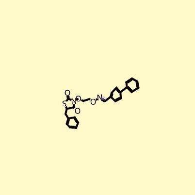 O=C1SC(Cc2ccccc2)C(=O)N1OCCO/N=C/c1ccc(-c2ccccc2)cc1